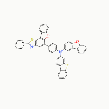 c1ccc(-c2nc3cc(-c4ccc(N(c5ccc6c(c5)sc5ccccc56)c5ccc6oc7ccccc7c6c5)cc4)c4oc5ccccc5c4c3s2)cc1